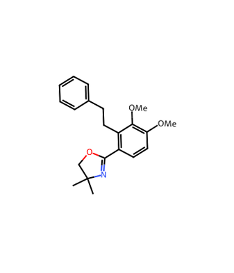 COc1ccc(C2=NC(C)(C)CO2)c(CCc2ccccc2)c1OC